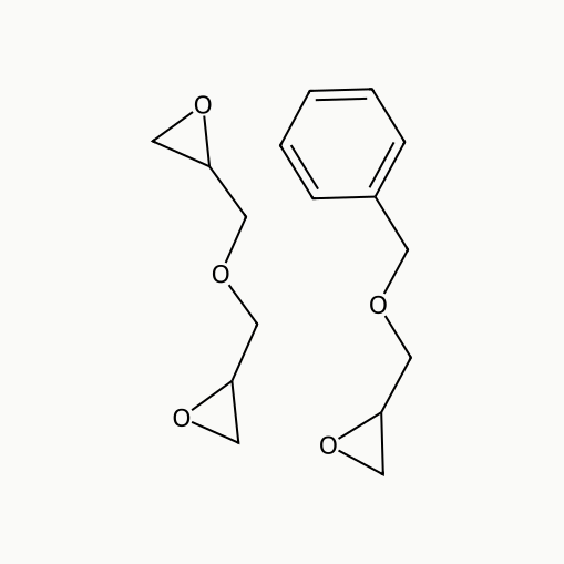 C(OCC1CO1)C1CO1.c1ccc(COCC2CO2)cc1